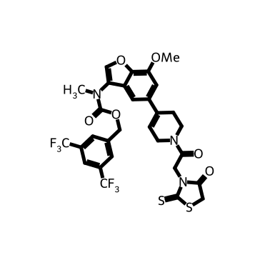 COc1cc(C2=CCN(C(=O)CN3C(=O)CSC3=S)CC2)cc2c(N(C)C(=O)OCc3cc(C(F)(F)F)cc(C(F)(F)F)c3)coc12